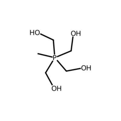 CP(CO)(CO)(CO)CO